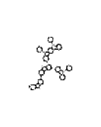 c1ccc(-n2c3ccccc3c3cc(-c4cc(-c5ccc6c(c5)c5cc7c8ccccc8n(-c8ccccc8)c7cc5n6-c5ccccc5)c5oc6ccc(-c7ccc8sc9ccncc9c8c7)cc6c5c4)ccc32)cc1